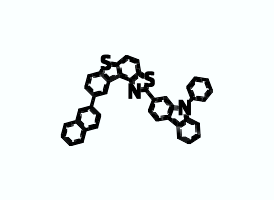 c1ccc(-n2c3ccccc3c3ccc(-c4nc5c(ccc6sc7ccc(-c8ccc9ccccc9c8)cc7c65)s4)cc32)cc1